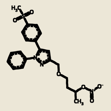 CC(CCOCc1cc(-c2ccc(S(C)(=O)=O)cc2)n(-c2ccccc2)n1)O[N+](=O)[O-]